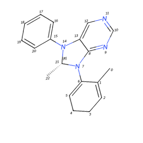 CC1=CCCC=C1N1c2ncncc2N(c2ccccc2)[C@H]1C